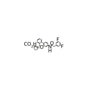 O=C(Cc1cc(F)cc(F)c1)Nc1ccc(-c2ccccc2C(=O)[C@@H]2CCC[C@H]2C(=O)O)cc1